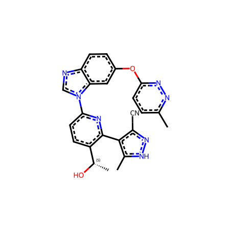 Cc1ccc(Oc2ccc3ncn(-c4ccc([C@H](C)O)c(-c5c(C#N)n[nH]c5C)n4)c3c2)nn1